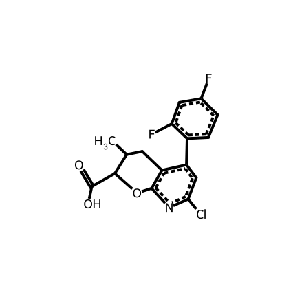 CC1Cc2c(-c3ccc(F)cc3F)cc(Cl)nc2OC1C(=O)O